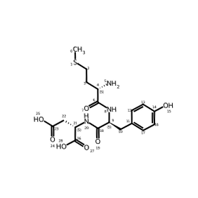 CSCC[C@H](N)C(=O)N[C@@H](Cc1ccc(O)cc1)C(=O)N[C@@H](CC(=O)O)C(=O)O